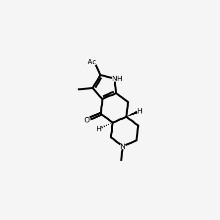 CC(=O)c1[nH]c2c(c1C)C(=O)[C@@H]1CN(C)CC[C@H]1C2